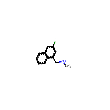 CNCc1cc(Cl)cc2ccccc12